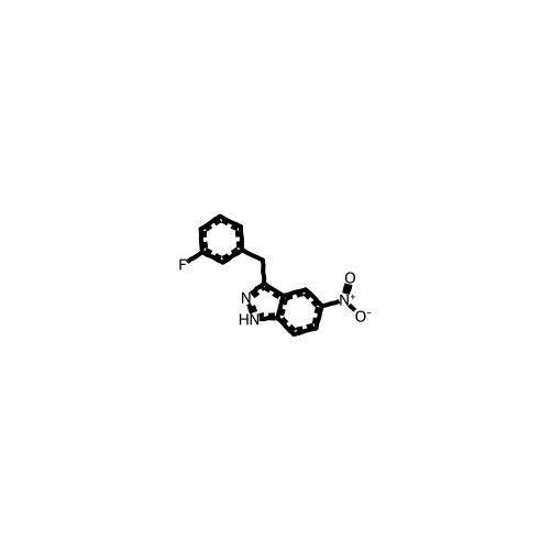 O=[N+]([O-])c1ccc2[nH]nc(Cc3cccc(F)c3)c2c1